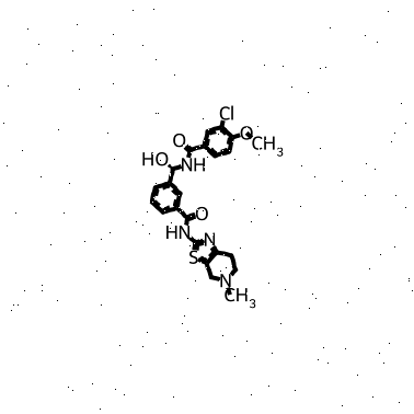 COc1ccc(C(=O)N[C@H](O)c2cccc(C(=O)Nc3nc4c(s3)CN(C)CC4)c2)cc1Cl